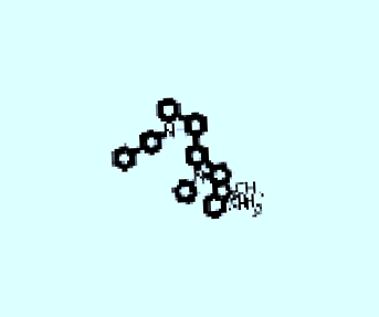 CC1(C)c2ccc3c4cc(-c5cccc(-c6ccccc6Nc6ccc(-c7ccccc7)cc6)c5)ccc4n(-c4ccccc4)c3c2C2C=CC=CC21C